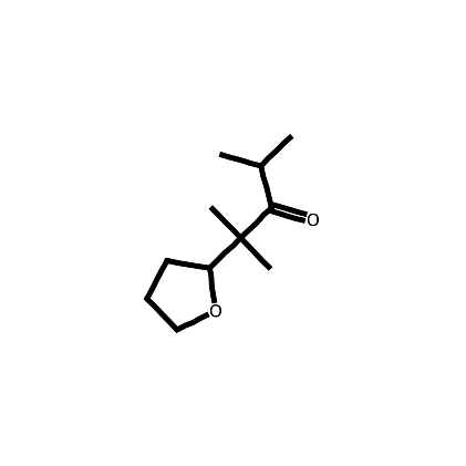 CC(C)C(=O)C(C)(C)C1CCCO1